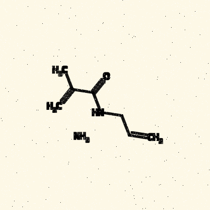 C=CCNC(=O)C(=C)C.N